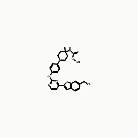 CC1(NC(=O)OC(C)(C)C)CCN(c2ccc(Nc3nccc(-c4cc5ccc(CO)cc5o4)n3)cc2)CC1